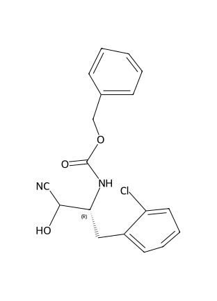 N#CC(O)[C@@H](Cc1ccccc1Cl)NC(=O)OCc1ccccc1